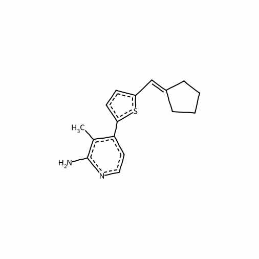 Cc1c(-c2ccc(C=C3CCCC3)s2)ccnc1N